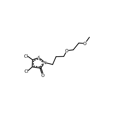 COCCOCCCn1sc(Cl)c(Cl)c1=O